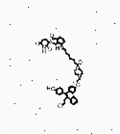 O=C1CCC(N2Cc3c(NCCCCCCC(=O)N4CCN(CCOc5ccc(C(=C(CCCl)c6ccccc6)c6ccc(O)cc6)cc5)CC4)cccc3C2=O)C(=O)N1